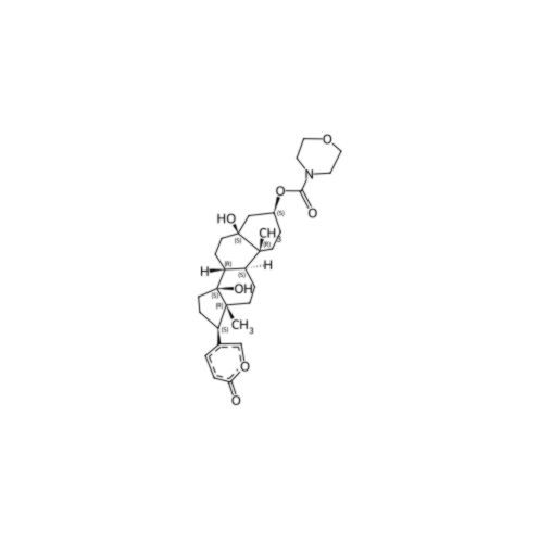 C[C@]12CC[C@H](OC(=O)N3CCOCC3)C[C@@]1(O)CC[C@@H]1[C@@H]2CC[C@]2(C)[C@@H](c3ccc(=O)oc3)CC[C@]12O